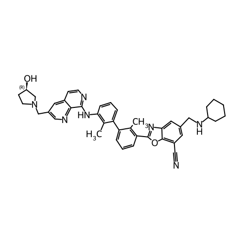 Cc1c(Nc2nccc3cc(CN4CC[C@@H](O)C4)cnc23)cccc1-c1cccc(-c2nc3cc(CNC4CCCCC4)cc(C#N)c3o2)c1C